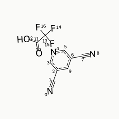 N#Cc1cncc(C#N)c1.O=C(O)C(F)(F)F